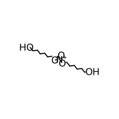 O=[N+](OCCCCCCO)OCCCCCCO